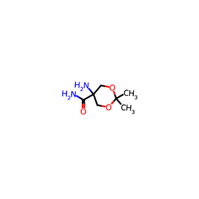 CC1(C)OCC(N)(C(N)=O)CO1